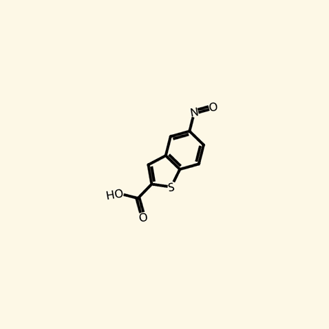 O=Nc1ccc2sc(C(=O)O)cc2c1